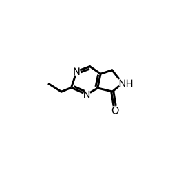 CCc1ncc2c(n1)C(=O)NC2